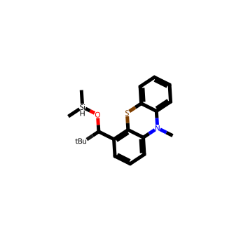 CN1c2ccccc2Sc2c(C(O[SiH](C)C)C(C)(C)C)cccc21